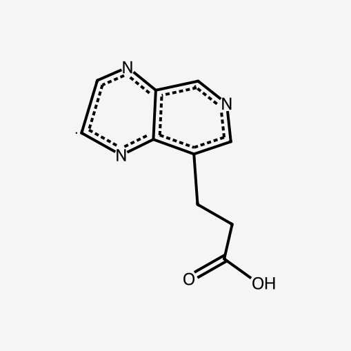 O=C(O)CCc1cncc2nc[c]nc12